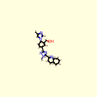 Cc1cn(-c2ccc(-c3nc(-c4ccc5ccccc5n4)n(C)n3)cc2CO)cn1